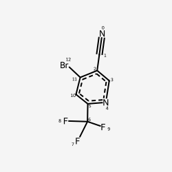 N#Cc1cnc(C(F)(F)F)cc1Br